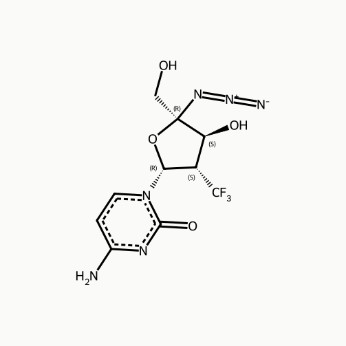 [N-]=[N+]=N[C@]1(CO)O[C@@H](n2ccc(N)nc2=O)[C@@H](C(F)(F)F)[C@@H]1O